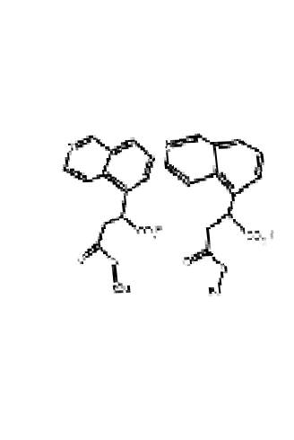 CC(C)(C)OC(=O)CC(C(=O)O)c1cccc2cnccc12.CCOC(=O)C(CC(=O)OC(C)(C)C)c1cccc2cnccc12